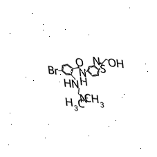 CN(C)CCNCc1cc(Br)ccc1C(=O)Nc1ccc2sc(CO)nc2c1